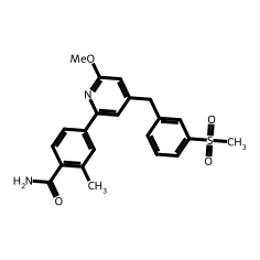 COc1cc(Cc2cccc(S(C)(=O)=O)c2)cc(-c2ccc(C(N)=O)c(C)c2)n1